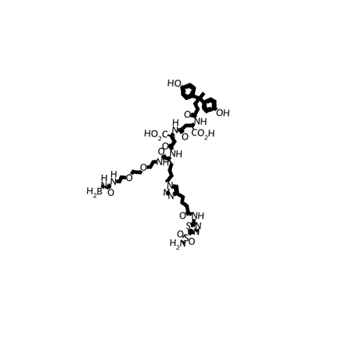 BNC(=O)NCCOCCOCCNC(=O)[C@H](CCCCn1cc(CCCC(=O)Nc2nnc(S(N)(=O)=O)s2)nn1)NC(=O)C[C@H](NC(=O)C[C@H](NC(=O)CCC(C)(c1ccc(O)cc1)c1ccc(O)cc1)C(=O)O)C(=O)O